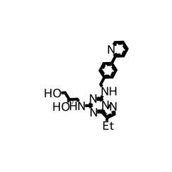 CCc1cnn2c(NCc3ccc(-c4ccccn4)cc3)nc(NC[C@@H](O)CO)nc12